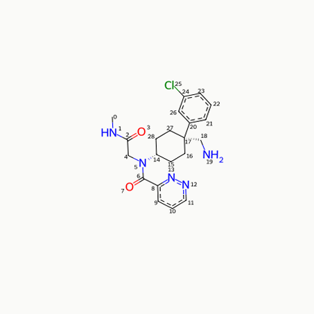 CNC(=O)CN(C(=O)c1cccnn1)[C@H]1CC[C@](CN)(c2cccc(Cl)c2)CC1